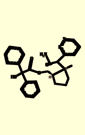 C[N+]1(C(C(N)=O)c2cccnn2)CCC[C@@H]1COC(=O)C(O)(c1ccccc1)c1ccccc1